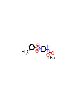 Cc1cccc(S(=O)(=O)N2CCC(NC(=O)OC(C)(C)C)CC2)c1